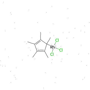 CC1=C(C)[C](C)([Rh-]([Cl])([Cl])[Cl])C(C)=C1C